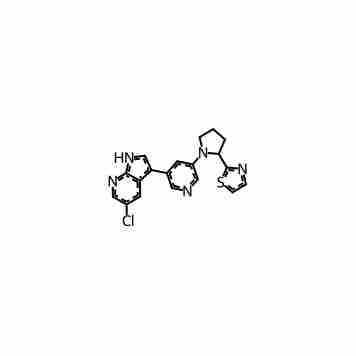 Clc1cnc2[nH]cc(-c3cncc(N4CCCC4c4nccs4)c3)c2c1